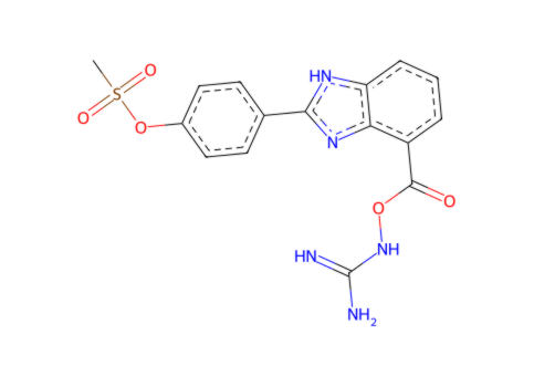 CS(=O)(=O)Oc1ccc(-c2nc3c(C(=O)ONC(=N)N)cccc3[nH]2)cc1